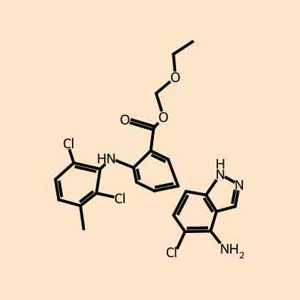 CCOCOC(=O)c1ccccc1Nc1c(Cl)ccc(C)c1Cl.Nc1c(Cl)ccc2[nH]ncc12